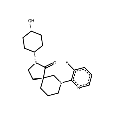 O=C1N([C@H]2CC[C@@H](O)CC2)CC[C@@]12CCCN(c1ncccc1F)C2